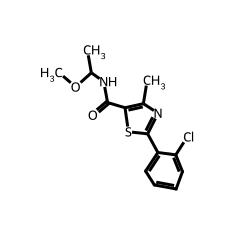 COC(C)NC(=O)c1sc(-c2ccccc2Cl)nc1C